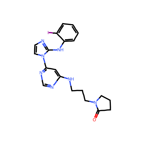 O=C1CCCN1CCCNc1cc(-n2ccnc2Nc2ccccc2I)ncn1